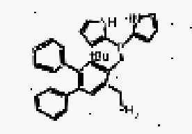 CC(C)(C)c1c(CP(c2ccc[nH]2)c2ccc[nH]2)c(CP)cc(-c2ccccc2)c1-c1ccccc1